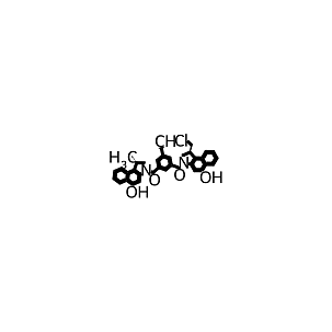 C#Cc1cc(C(=O)N2C[C@@H](CCl)c3c2cc(O)c2ccccc32)cc(C(=O)N2C[C@@H](C)c3c2cc(O)c2ccccc32)c1